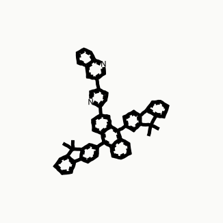 CC1(C)c2ccccc2-c2ccc(-c3c4ccccc4c(-c4ccc5c(c4)C(C)(C)c4ccccc4-5)c4cc(-c5ccc(-c6cnc7ccccc7c6)cn5)ccc34)cc21